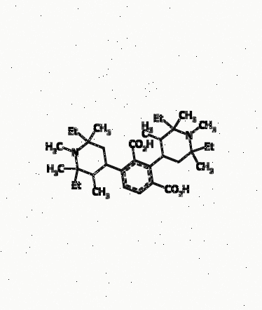 CCC1(C)CC(c2ccc(C(=O)O)c(C3CC(C)(CC)N(C)C(C)(CC)C3C)c2C(=O)O)C(C)C(C)(CC)N1C